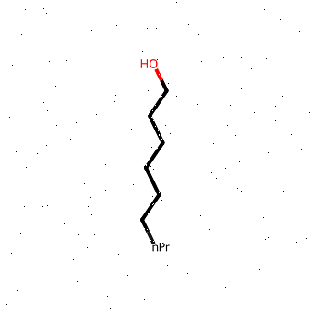 [CH2]CCCCCCCCO